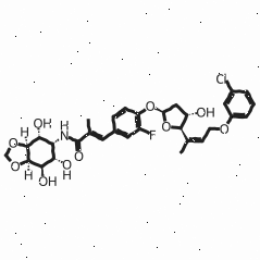 C/C(=C/COc1cccc(Cl)c1)[C@H]1O[C@@H](Oc2ccc(/C=C(\C)C(=O)N[C@@H]3[C@H](O)[C@@H](O)[C@H]4OCO[C@H]4[C@@H]3O)cc2F)C[C@@H]1O